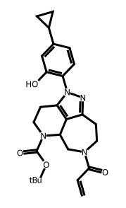 C=CC(=O)N1CCc2nn(-c3ccc(C4CC4)cc3O)c3c2C(C1)N(C(=O)OC(C)(C)C)CC3